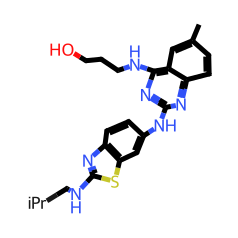 Cc1ccc2nc(Nc3ccc4nc(NCC(C)C)sc4c3)nc(NCCCO)c2c1